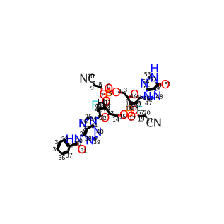 C[C@@]12C(COP(=O)(OCCC#N)O[C@@H]3C(COP1(=O)OCCC#N)OC(n1cnc4c(NC(=O)c5ccccc5)ncnc41)[C@@H]3F)OC(n1cnc3c(=O)[nH]cnc31)[C@@H]2F